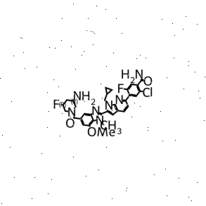 COc1cc(C(=O)N2C[C@H](N)C[C@@H](F)C2)cc2nc(-c3cc4ccc(-c5cc(Cl)c(C(N)=O)cc5F)nc4n3CC3CC3)n(C)c12